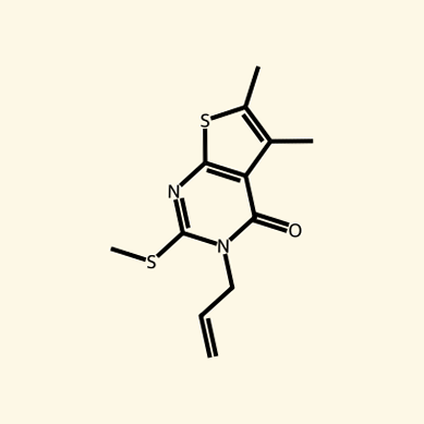 C=CCn1c(SC)nc2sc(C)c(C)c2c1=O